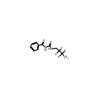 O=C(NC(=S)NCC(F)(F)C(F)(F)C(F)(F)F)c1ccccc1